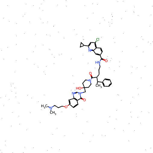 CC(c1ccccc1)C(CCCNC(=O)c1ccc2c(Cl)cc(C3CC3)nc2c1)C(=O)N1CCC(O)(Cn2cnc3cc(OCCCN(C)C)ccc3c2=O)CC1